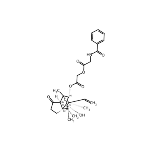 C=C[C@]1(C)C[C@@H](OC(=O)COC(=O)CNC(=O)c2ccccc2)C2(C)CC[C@@H](C)[C@@]3(CCC(=O)[C@@H]23)[C@@H](C)[C@@H]1O